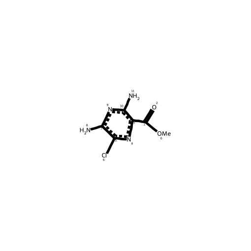 COC(=O)c1nc(Cl)c(N)nc1N